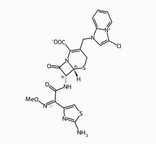 CO/N=C(\C(=O)N[C@@H]1C(=O)N2C(C(=O)[O-])=C(Cn3cc(Cl)[n+]4ccccc34)CS[C@H]12)c1csc(N)n1